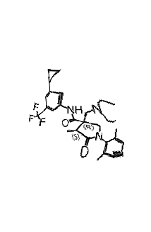 CCN(CC)C[C@@]1(C(=O)Nc2cc(C3CC3)cc(C(F)(F)F)c2)CN(c2c(C)cccc2C)C(=O)[C@H]1C